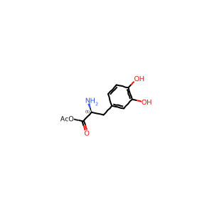 CC(=O)OC(=O)[C@@H](N)Cc1ccc(O)c(O)c1